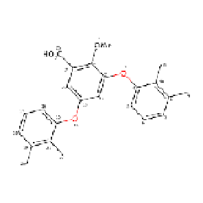 COc1c(Oc2cccc(C)c2C)cc(Oc2cccc(C)c2C)cc1C(=O)O